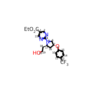 CCOC(=O)c1cnc(N2C[C@H](Oc3ccc(C(F)(F)F)cc3)C[C@H]2CCO)nc1